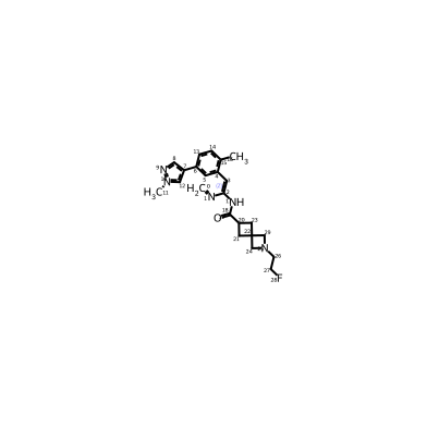 C=N/C(=C\c1cc(-c2cnn(C)c2)ccc1C)NC(=O)C1CC2(C1)CN(CCF)C2